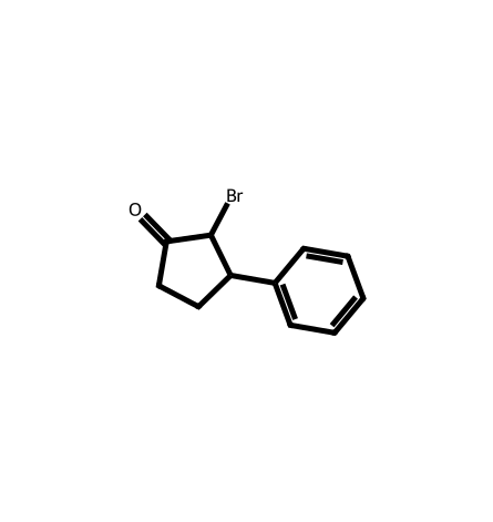 O=C1CCC(c2ccccc2)C1Br